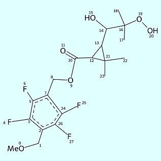 COCc1c(F)c(F)c(COC(=O)C2C(C(O)C(C)(C)OO)C2(C)C)c(F)c1F